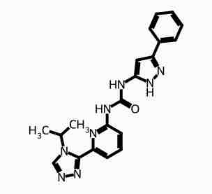 CC(C)n1cnnc1-c1cccc(NC(=O)Nc2cc(-c3ccccc3)n[nH]2)n1